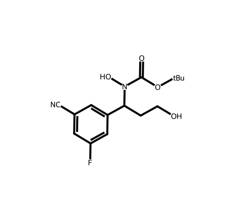 CC(C)(C)OC(=O)N(O)C(CCO)c1cc(F)cc(C#N)c1